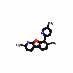 Cc1ccc(-c2c(C)ccc3c2oc2nc(C)ccc23)nc1